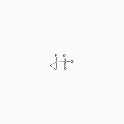 [O]S(=O)(=O)C1(F)CC1